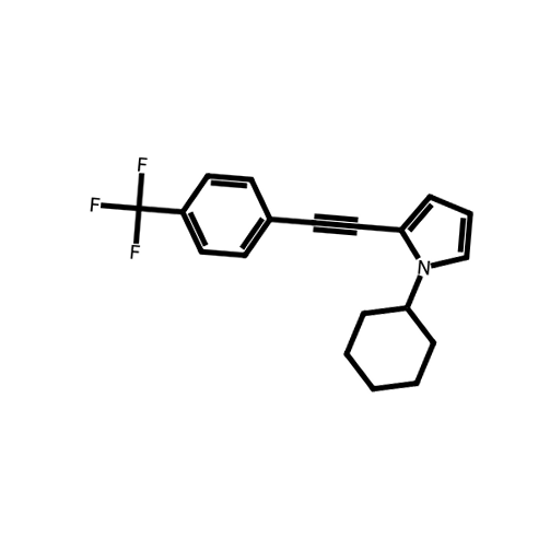 FC(F)(F)c1ccc(C#Cc2cccn2C2CCCCC2)cc1